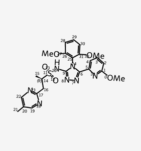 COc1cccc(-c2nnc(NS(=O)(=O)[C@H](C)Cc3ncc(C)cn3)n2-c2c(OC)cccc2OC)n1